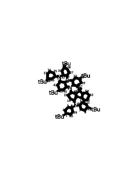 CC(C)(C)c1ccc(N(c2ccc(C(C)(C)C)cc2)c2ccc(N3c4ccc(C(C)(C)C)cc4B4c5ccc(C(C)(C)C)cc5N(c5cccc(C(C)(C)C)c5)c5cc(C(C)(C)C)cc3c54)c3c2-c2ccccc2C3(C)C)cc1